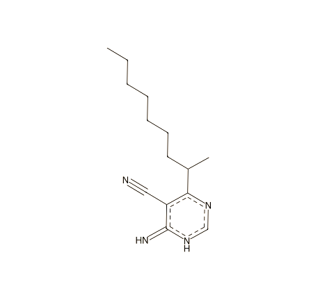 CCCCCCCC(C)c1nc[nH]c(=N)c1C#N